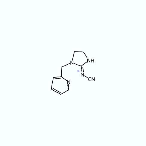 N#C/N=C1\NCCN1Cc1ccccn1